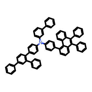 c1ccc(-c2cccc(N(c3ccc(-c4ccc(-c5ccccc5)cc4-c4ccccc4)cc3)c3ccc(-c4cccc5c(-c6ccccc6)c(-c6ccccc6)c6ccccc6c45)cc3)c2)cc1